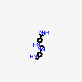 [c]1cc2ccc(-c3nccc(Nc4ccc(-c5cn[nH]c5)cc4)n3)cc2[nH]1